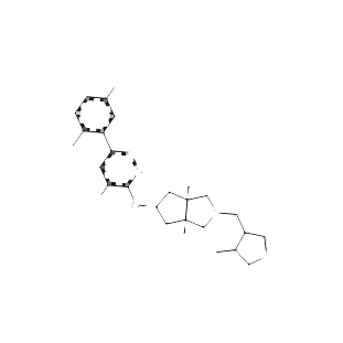 Cc1ccc(F)cc1-c1cc(C(F)(F)F)c(N[C@H]2C[C@@H]3CN(CC4COCC4C)C[C@@H]3C2)nn1